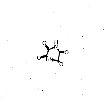 O=C1NC(=O)C(=O)NC1=O